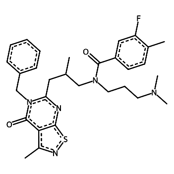 Cc1ccc(C(=O)N(CCCN(C)C)CC(C)Cc2nc3snc(C)c3c(=O)n2Cc2ccccc2)cc1F